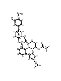 CNC(=O)OC1CCC(C(=O)N(CC23CCC(c4ccc(OC)c(C)c4)(CC2)CC3)c2cccc(-c3cnn(C4CC4)c3)c2)CC1